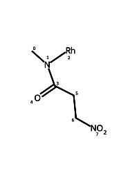 C[N]([Rh])C(=O)CC[N+](=O)[O-]